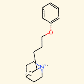 c1ccc(OCCCC2CC3CC[N+]2CC3)cc1